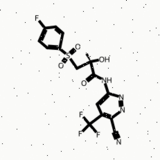 C[C@](O)(CS(=O)(=O)c1ccc(F)cc1)C(=O)Nc1cc(C(F)(F)F)c(C#N)nn1